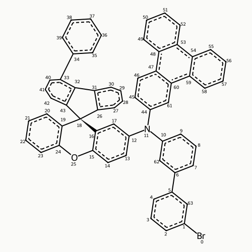 Brc1cccc(-c2cccc(N(c3ccc4c(c3)[C@]3(c5ccccc5O4)c4ccccc4-c4c(-c5ccccc5)cccc43)c3ccc4c5ccccc5c5ccccc5c4c3)c2)c1